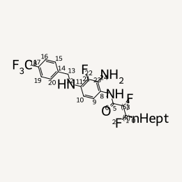 CCCCCCC[C@@H](F)[C@@H](F)C(=O)Nc1ccc(NCc2ccc(C(F)(F)F)cc2)c(F)c1N